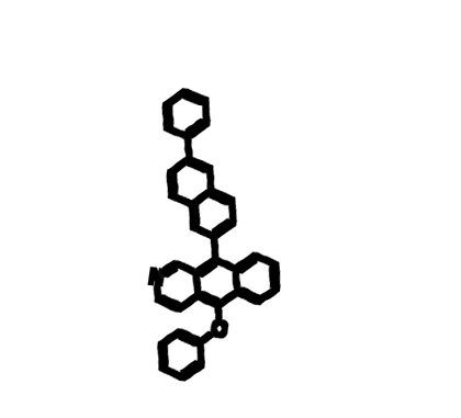 c1ccc(Oc2c3ccccc3c(-c3ccc4cc(-c5ccccc5)ccc4c3)c3cnccc23)cc1